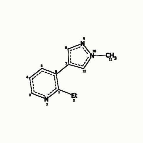 CCc1ncccc1-c1cnn(C)c1